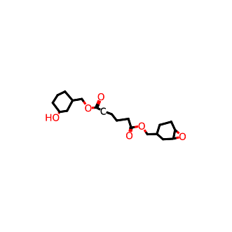 O=C(CCCCC(=O)OCC1CCC2OC2C1)OCC1CCCC(O)C1